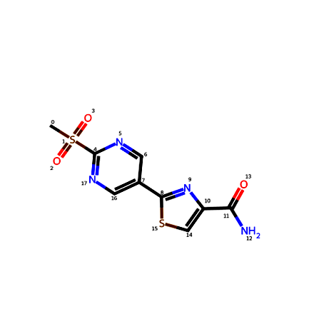 CS(=O)(=O)c1ncc(-c2nc(C(N)=O)cs2)cn1